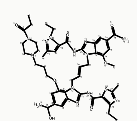 CCC(=O)N1CCN(CCCOc2cc(C(N)O)cc3nc(NC(=O)c4sc(C)nc4CC)n(C/C=C/Cn4c(NC(=O)c5cc(C)nn5CC)nc5cc(C(N)=O)cc(OC)c54)c23)CC1